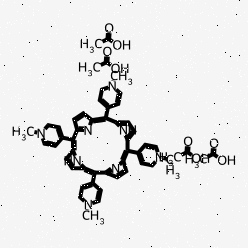 CC(=O)O.CC(=O)O.CC(=O)O.CC(=O)O.CN1C=CC(c2c3nc(c(C4=CCN(C)C=C4)c4ccc([nH]4)c(C4=CCN(C)C=C4)c4nc(c(C5=CCN(C)C=C5)c5ccc2[nH]5)C=C4)C=C3)=CC1